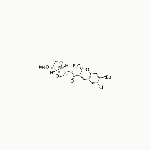 CO[C@@H]1CO[C@H]2[C@@H]1OC[C@@H]2OC(=O)C1=Cc2cc(Cl)c(C(C)(C)C)cc2O[C@@H]1C(F)(F)F